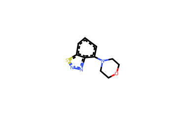 c1cc(N2CCOCC2)c2nnsc2c1